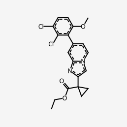 CCOC(=O)C1(c2cn3ccc(-c4c(OC)ccc(Cl)c4Cl)cc3n2)CC1